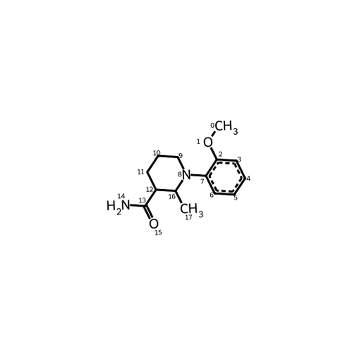 COc1ccccc1N1CCCC(C(N)=O)C1C